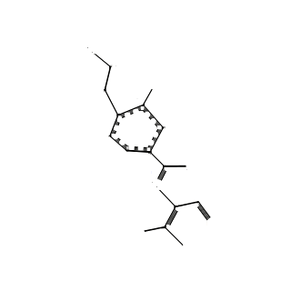 CC(C)=C(C=O)/N=C(\C)c1ccc(CCN)c(F)c1